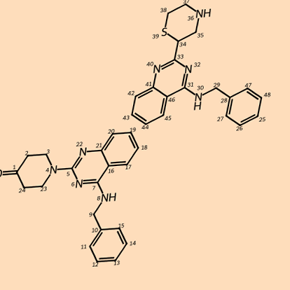 O=C1CCN(c2nc(NCc3ccccc3)c3ccccc3n2)CC1.c1ccc(CNc2nc(C3CNCCS3)nc3ccccc23)cc1